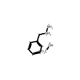 N[SiH2]Cc1ccccc1.O=C(O)O